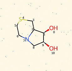 O[C@@H]1C2CSCCN2C[C@@H]1O